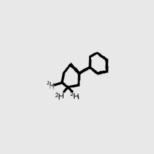 [2H]C1CCC(C2CCCCC2)CC1([2H])[2H]